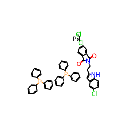 O=C1c2ccccc2C(=O)N1CCc1cc2cc(Cl)ccc2[nH]1.[Cl][Pd][Cl].c1ccc(P(c2ccccc2)c2ccccc2)cc1.c1ccc(P(c2ccccc2)c2ccccc2)cc1